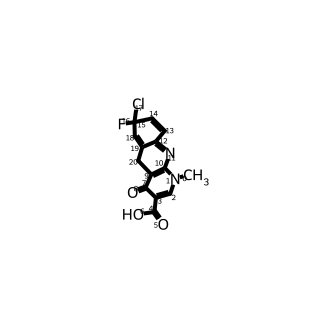 Cn1cc(C(=O)O)c(=O)c2c1N=C1C=CC(F)(Cl)C=C1C2